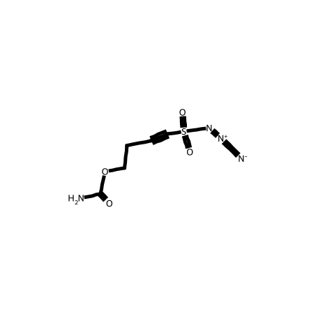 [N-]=[N+]=NS(=O)(=O)C#CCCOC(N)=O